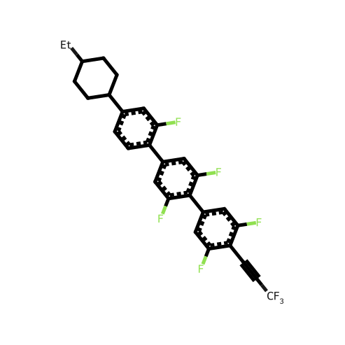 CCC1CCC(c2ccc(-c3cc(F)c(-c4cc(F)c(C#CC(F)(F)F)c(F)c4)c(F)c3)c(F)c2)CC1